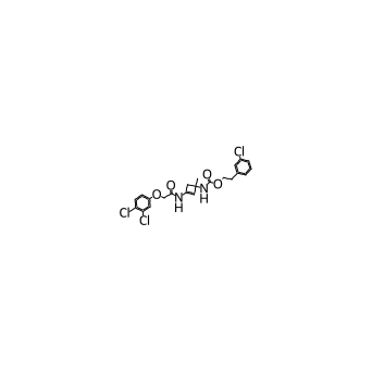 CC1(NC(=O)OCCc2cccc(Cl)c2)C=C(NC(=O)COc2ccc(Cl)c(Cl)c2)C1